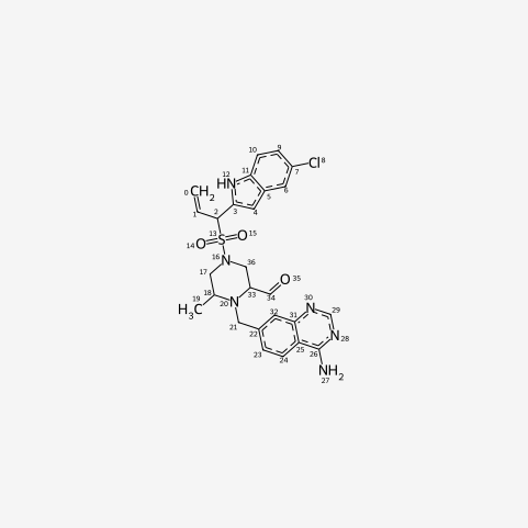 C=CC(c1cc2cc(Cl)ccc2[nH]1)S(=O)(=O)N1CC(C)N(Cc2ccc3c(N)ncnc3c2)C(C=O)C1